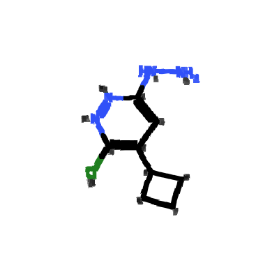 NNc1cc(C2CCC2)c(Cl)nn1